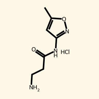 Cc1cc(NC(=O)CCN)no1.Cl